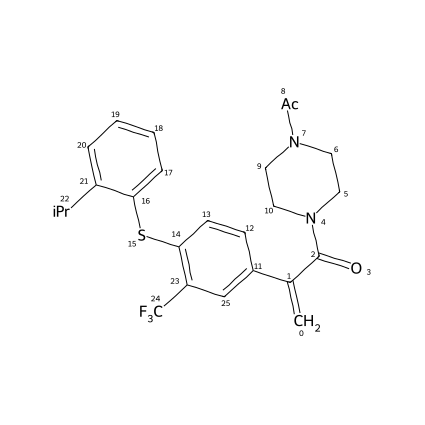 C=C(C(=O)N1CCN(C(C)=O)CC1)c1ccc(Sc2ccccc2C(C)C)c(C(F)(F)F)c1